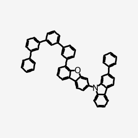 c1ccc(-c2cccc(-c3cccc(-c4cccc(-c5cccc6c5oc5cc(-n7c8ccccc8c8ccc(-c9ccccc9)cc87)ccc56)c4)c3)c2)cc1